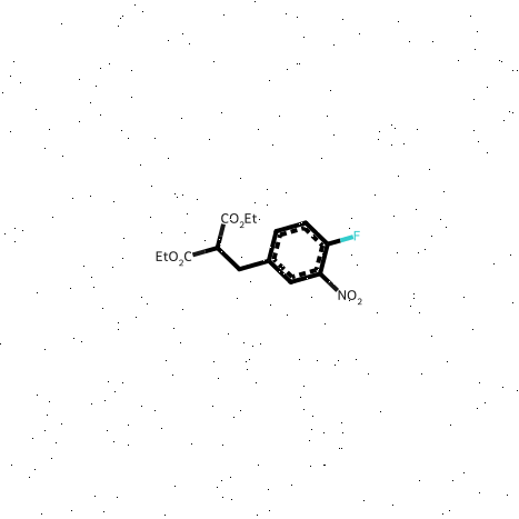 CCOC(=O)C(Cc1ccc(F)c([N+](=O)[O-])c1)C(=O)OCC